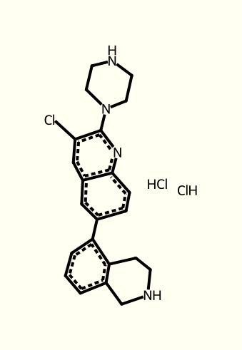 Cl.Cl.Clc1cc2cc(-c3cccc4c3CCNC4)ccc2nc1N1CCNCC1